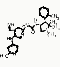 Cc1cc(Nc2cnc(NC(=O)N[C@@H]3CN(C)C(C)(C)[C@H]3c3ccccc3C)cc2C=N)ccn1